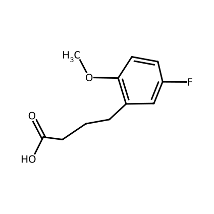 COc1ccc(F)cc1CCCC(=O)O